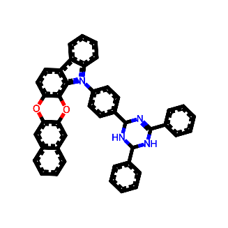 c1ccc(C2=NC(c3ccc(-n4c5ccccc5c5ccc6c(c54)Oc4cc5ccccc5cc4O6)cc3)NC(c3ccccc3)N2)cc1